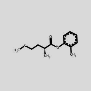 CSCC[C@H](N)C(=O)Oc1ccccc1C